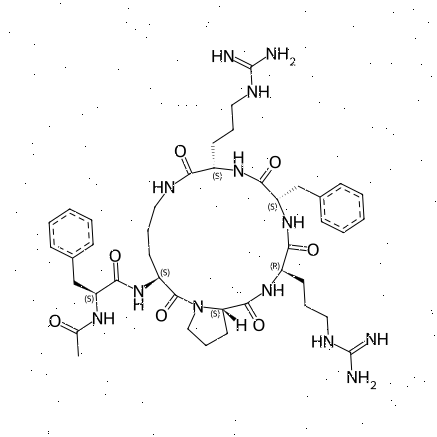 CC(=O)N[C@@H](Cc1ccccc1)C(=O)N[C@H]1CCCNC(=O)[C@H](CCCNC(=N)N)NC(=O)[C@H](Cc2ccccc2)NC(=O)[C@@H](CCCNC(=N)N)NC(=O)[C@@H]2CCCN2C1=O